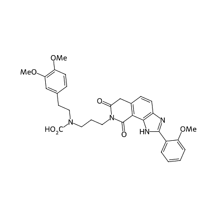 COc1ccc(CCN(CCCN2C(=O)Cc3ccc4nc(-c5ccccc5OC)[nH]c4c3C2=O)C(=O)O)cc1OC